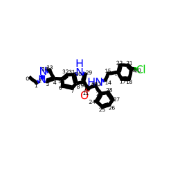 CCn1cc(-c2ccc3c(C(=O)[C@H](NCCc4ccc(Cl)cc4)c4ccccc4)c[nH]c3c2)cn1